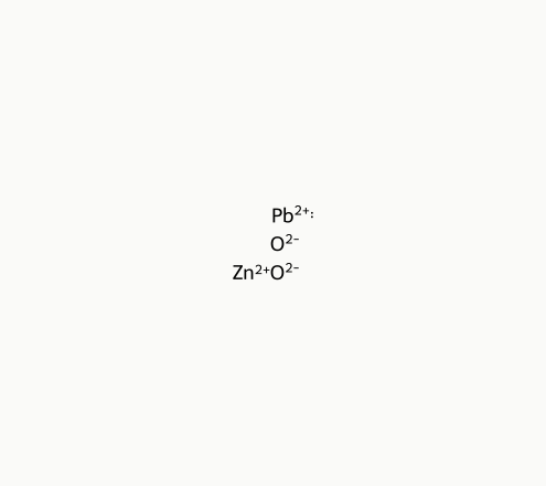 [O-2].[O-2].[Pb+2].[Zn+2]